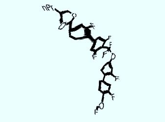 CCCC1COC(c2ccc(-c3cc(F)c(C(F)(F)Oc4ccc(-c5ccc(OCF)c(F)c5)c(F)c4)c(F)c3)c(F)c2)OC1